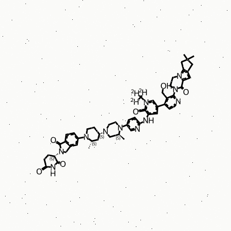 [2H]C([2H])([2H])n1cc(-c2ccnc(N3CCn4c(cc5c4CC(C)(C)C5)C3=O)c2CO)cc(Nc2ccc(N3CCN([C@H]4CCN(c5ccc6c(c5)CN([C@H]5CCC(=O)NC5=O)C6=O)[C@@H](C)C4)C[C@@H]3C)cn2)c1=O